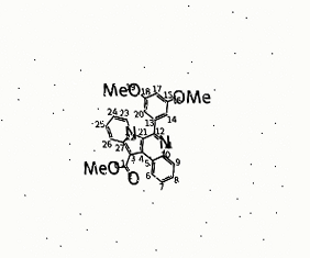 COC(=O)c1c2c3ccccc3nc(-c3cc(OC)cc(OC)c3)c2n2ccccc12